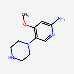 COc1cc(N)ncc1N1CCNCC1